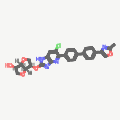 Cc1nc(-c2ccc(-c3ccc(-c4nc5nc(O[C@@H]6CO[C@H]7[C@@H]6OC[C@H]7O)[nH]c5cc4Cl)cc3)cc2)co1